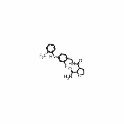 NC(=O)C1OCC[C]1C(=O)NCc1ccc(Nc2ccccc2C(F)(F)F)cc1F